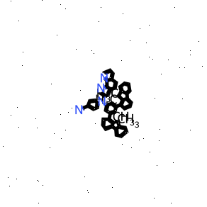 CC1(C)c2ccccc2-c2cccc(-c3cc(-c4cccc5c4C(C)(C)c4ccccc4-5)cc(N(c4ccc(C#N)cc4)c4cnc5c(ccc6cccnc65)c4)c3)c21